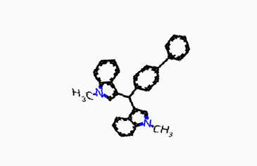 Cn1cc(C(c2ccc(-c3ccccc3)cc2)c2cn(C)c3ccccc23)c2ccccc21